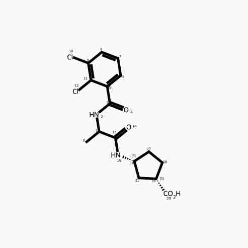 CC(NC(=O)c1cccc(Cl)c1Cl)C(=O)N[C@@H]1CC[C@H](C(=O)O)C1